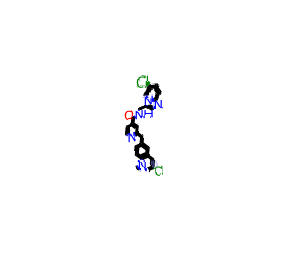 C=Nc1ccc(Cc2cc(C(=O)NCc3cnc4ccc(Cl)cn34)ccn2)cc1/C=C(\C)Cl